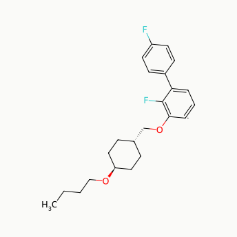 CCCCO[C@H]1CC[C@H](COc2[c]ccc(-c3ccc(F)cc3)c2F)CC1